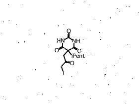 CCCC(C)C1(CC(=O)CI)C(=O)NC(=O)NC1=O